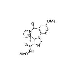 CONC(=O)c1ncn2c1[C@@H]1CCCN1C(=O)c1cc(OC)ccc1-2